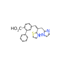 O=C(O)c1ccc(C=C(Cc2ncc[nH]2)c2nccs2)cc1-c1ccccc1